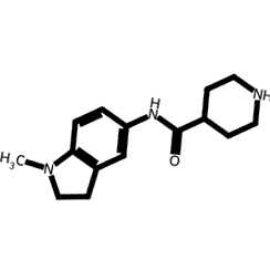 CN1CCc2cc(NC(=O)C3CCNCC3)ccc21